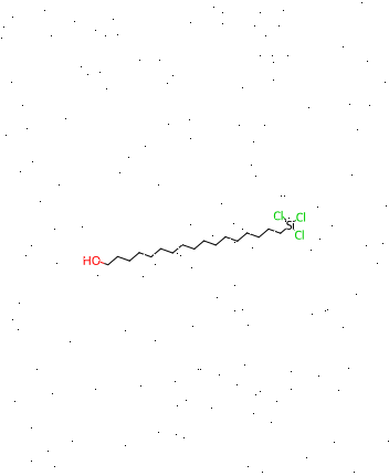 OCCCCCCCCCCCCCCCCC[Si](Cl)(Cl)Cl